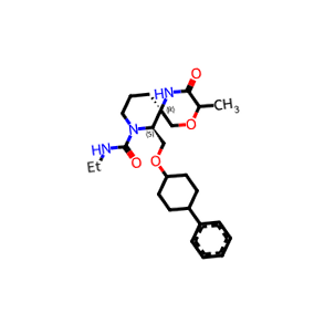 CCNC(=O)N1CCC[C@]2(COC(C)C(=O)N2)[C@H]1COC1CCC(c2ccccc2)CC1